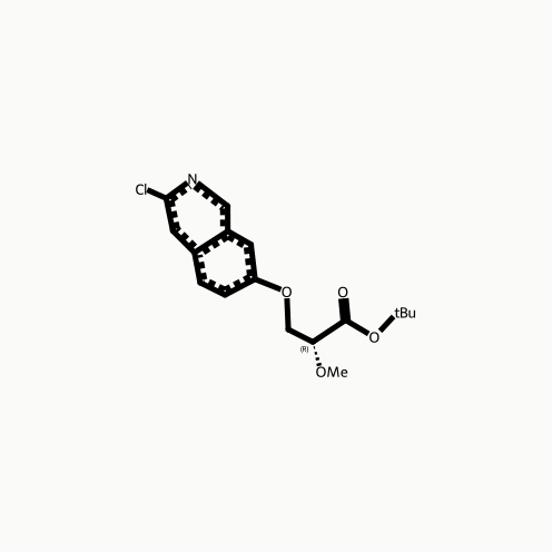 CO[C@H](COc1ccc2cc(Cl)ncc2c1)C(=O)OC(C)(C)C